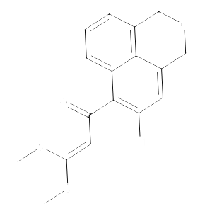 CSC(=CC(=O)c1c(Cl)cc2c3c(cccc13)COC2)SC